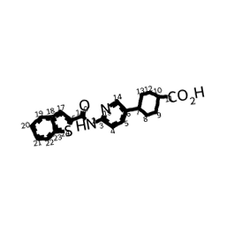 O=C(Nc1ccc(C2CCC(C(=O)O)CC2)cn1)c1cc2ccccc2s1